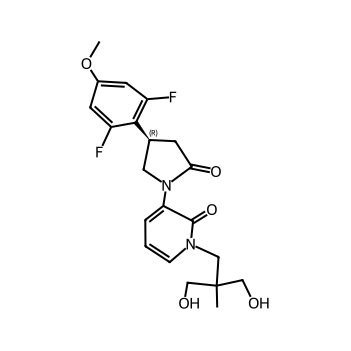 COc1cc(F)c([C@H]2CC(=O)N(c3cccn(CC(C)(CO)CO)c3=O)C2)c(F)c1